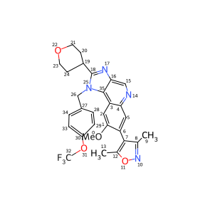 COc1cc2c(cc1-c1c(C)noc1C)ncc1nc(C3CCOCC3)n(Cc3ccc(OC(F)(F)F)cc3)c12